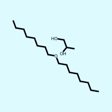 CC(O)CO.CCCCCCCCOCCCCCCCC